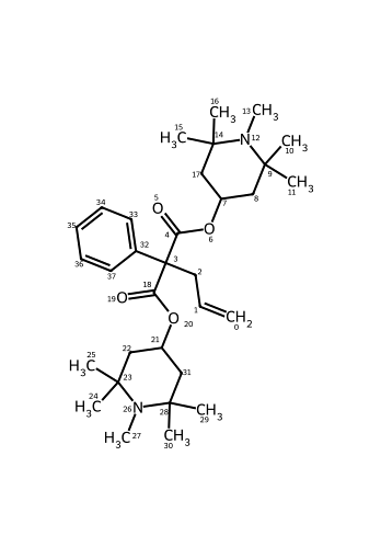 C=CCC(C(=O)OC1CC(C)(C)N(C)C(C)(C)C1)(C(=O)OC1CC(C)(C)N(C)C(C)(C)C1)c1ccccc1